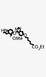 CCOC(=O)CCCCCCOc1cc2ncnc(Oc3ccc4[nH]c(C)cc4c3F)c2cc1OC